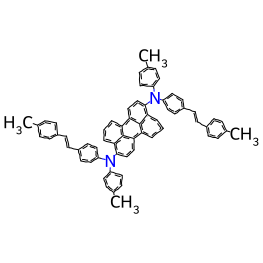 Cc1ccc(C=Cc2ccc(N(c3ccc(C)cc3)c3ccc4c5cccc6c(N(c7ccc(C)cc7)c7ccc(C=Cc8ccc(C)cc8)cc7)ccc(c7cccc3c74)c65)cc2)cc1